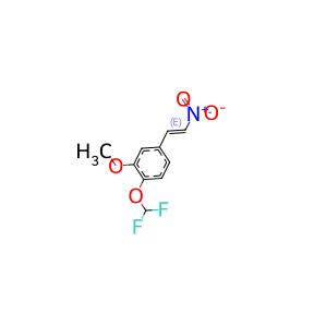 COc1cc(/C=C/[N+](=O)[O-])ccc1OC(F)F